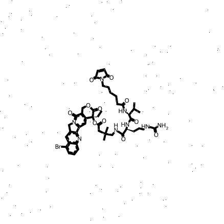 CC[C@@]1(OC(=O)CC(C)(C)CNC(=O)[C@H](CCCNC(N)=O)NC(=O)[C@@H](NC(=O)CCCCCN2C(=O)C=CC2=O)C(C)C)C(=O)OCc2c1cc1n(c2=O)Cc2cc3c(Br)cccc3nc2-1